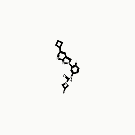 O=C(Nc1ccc(F)c(-n2cc3cc(C4CCC4)cnc3n2)c1)N1CC(F)C1